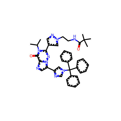 CC(C)n1c(-c2cnn(CCNC(=O)C(C)(C)C)c2)nn2c(-c3cn(C(c4ccccc4)(c4ccccc4)c4ccccc4)cn3)cnc2c1=O